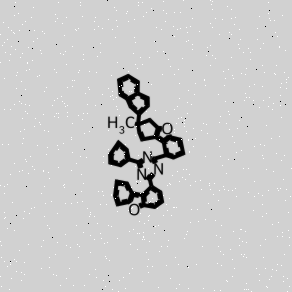 CC1(c2ccc3ccccc3c2)C=Cc2c(oc3cccc(-c4nc(-c5ccccc5)nc(-c5cccc6oc7ccccc7c56)n4)c23)C1